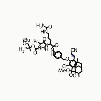 COC1(c2ccc(/C=C/C#N)c(OCc3ccc(NC(=O)C(CCCNC(N)=O)NC(=O)C(NC(=O)OC(C)(P)COC(C)(C)C)C(C)C)cc3)c2Cl)OOC12C(C)CC1CC(C)CC2C1